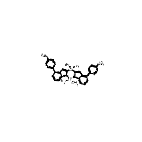 CC(C)[Si]1(C(C)C)C2=Cc3c(-c4ccc(C(C)(C)C)cc4)cccc3[CH]2[Hf]([CH3])([CH3])[CH]2C1=Cc1c(-c3ccc(C(C)(C)C)cc3)cccc12